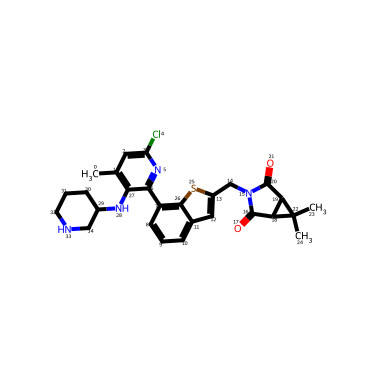 Cc1cc(Cl)nc(-c2cccc3cc(CN4C(=O)C5C(C4=O)C5(C)C)sc23)c1NC1CCCNC1